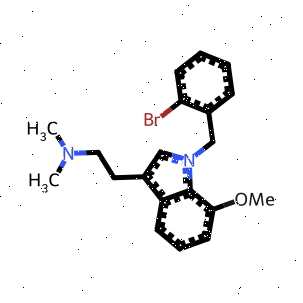 COc1cccc2c(CCN(C)C)cn(Cc3ccccc3Br)c12